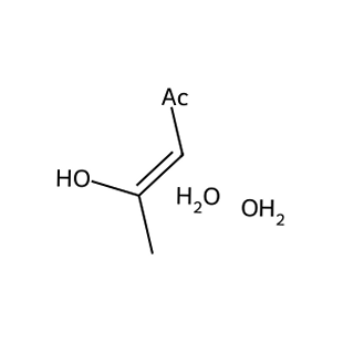 CC(=O)/C=C(/C)O.O.O